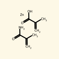 C=C(C)C(=O)O.C=C(C)C(N)=O.[Zn]